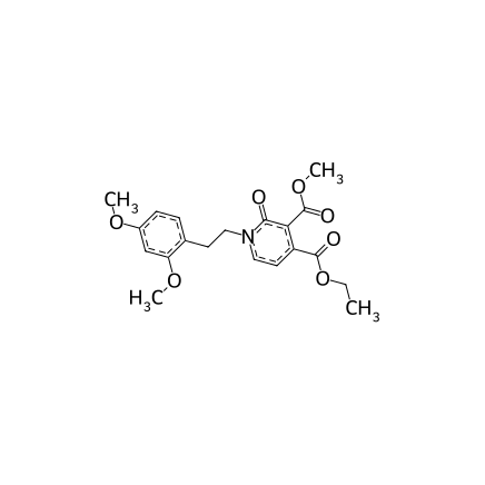 CCOC(=O)c1ccn(CCc2ccc(OC)cc2OC)c(=O)c1C(=O)OC